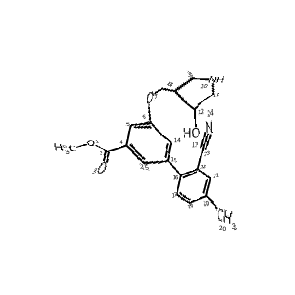 COC(=O)c1cc(OC2CNCC2O)cc(-c2ccc(C)cc2C#N)c1